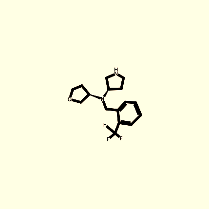 FC(F)(F)c1ccccc1CN([C@@H]1CCNC1)[C@@H]1CCOC1